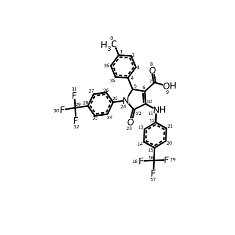 Cc1ccc(C2C(C(=O)O)=C(Nc3ccc(C(F)(F)F)cc3)C(=O)N2c2ccc(C(F)(F)F)cc2)cc1